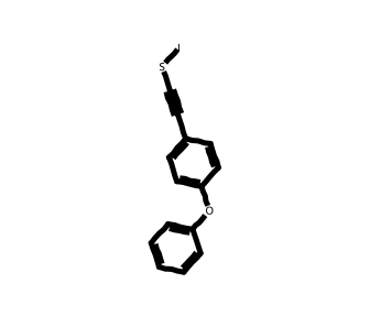 ISC#Cc1ccc(Oc2ccccc2)cc1